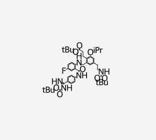 CC(C)Oc1cc(CCNC(=O)OC(C)(C)C)cc(CNc2ccc(F)cc2C(=O)Nc2ccc(C(=N)NC(=O)OC(C)(C)C)cc2)c1CCC(=O)OC(C)(C)C